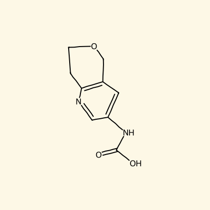 O=C(O)Nc1cnc2c(c1)COCC2